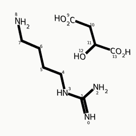 N=C(N)NCCCCN.O=C(O)CC(O)C(=O)O